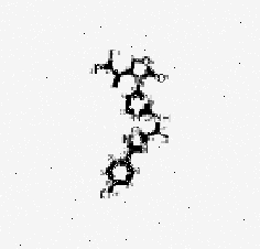 CC(C(F)F)C1COC(=O)N1c1ccnc(N[C@@H](C)c2nc(-c3ccc(Cl)cc3)no2)n1